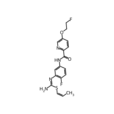 C/C=C\S/C(N)=N\c1cc(NC(=O)c2ccc(OCCF)cn2)ccc1F